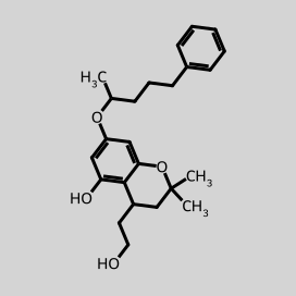 CC(CCCc1ccccc1)Oc1cc(O)c2c(c1)OC(C)(C)CC2CCO